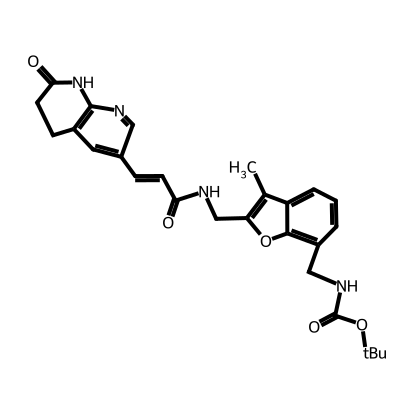 Cc1c(CNC(=O)/C=C/c2cnc3c(c2)CCC(=O)N3)oc2c(CNC(=O)OC(C)(C)C)cccc12